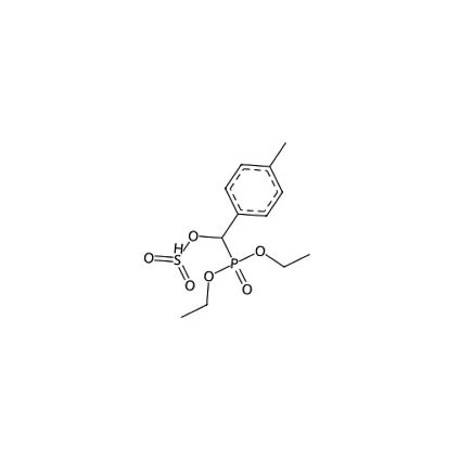 CCOP(=O)(OCC)C(O[SH](=O)=O)c1ccc(C)cc1